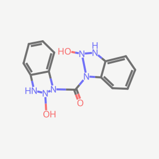 O=C(N1c2ccccc2NN1O)N1c2ccccc2NN1O